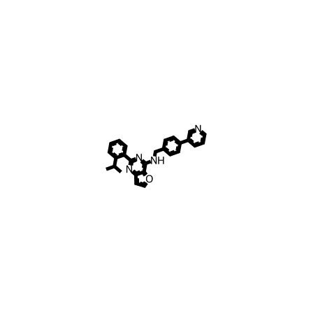 CC(C)c1ccccc1-c1nc(NCc2ccc(-c3cccnc3)cc2)c2occc2n1